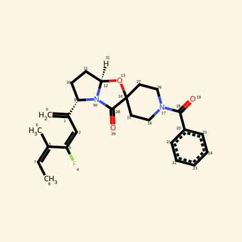 C=C(/C=C(F)\C(C)=C/C)[C@@H]1CC[C@H]2OC3(CCN(C(=O)c4ccccc4)CC3)C(=O)N21